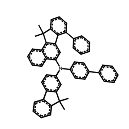 CC1(C)c2ccccc2-c2ccc(N(c3ccc(-c4ccccc4)cc3)c3cc4c(c5ccccc35)C(C)(C)c3cccc(-c5ccccc5)c3-4)cc21